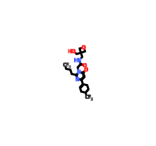 O=C(Cn1c(CCCC(F)(F)F)nc(C2=CCC(C(F)(F)F)CC2)cc1=O)NCC1(CO)COC1